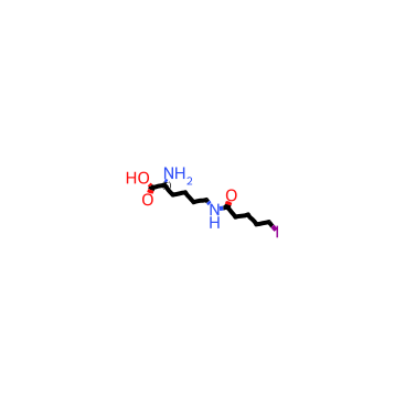 N[C@@H](CCCCNC(=O)CCCCI)C(=O)O